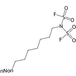 CCCCCCCCCCCCCCCCN(S(=O)(=O)F)S(=O)(=O)F